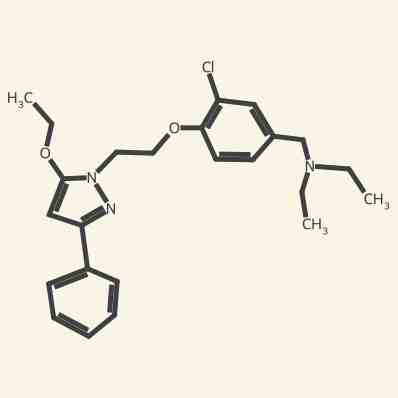 CCOc1cc(-c2ccccc2)nn1CCOc1ccc(CN(CC)CC)cc1Cl